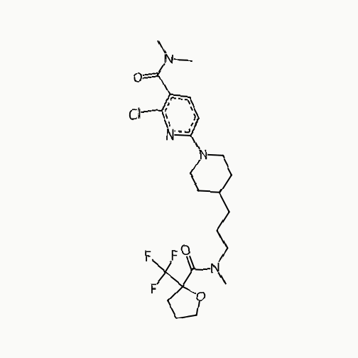 CN(C)C(=O)c1ccc(N2CCC(CCCN(C)C(=O)C3(C(F)(F)F)CCCO3)CC2)nc1Cl